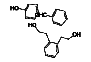 O=Cc1ccccc1.OCCc1ccccc1CCO.Oc1ccccc1